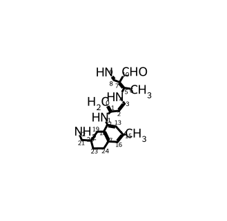 C=C(/C=C\N/C(C)=C(\C=N)C=O)Nc1cc(C)cc2c1CC(CN)CC2